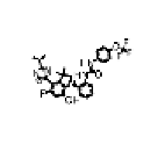 CC(C)c1noc(-c2c(F)cc(O)c3c2C(C)(C)CN3c2ccccc2NC(=O)Nc2ccc(OC(F)(F)F)cc2)n1